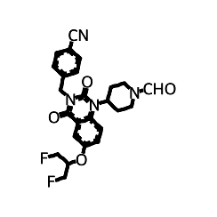 N#Cc1ccc(Cn2c(=O)c3cc(OC(CF)CF)ccc3n(C3CCN(C=O)CC3)c2=O)cc1